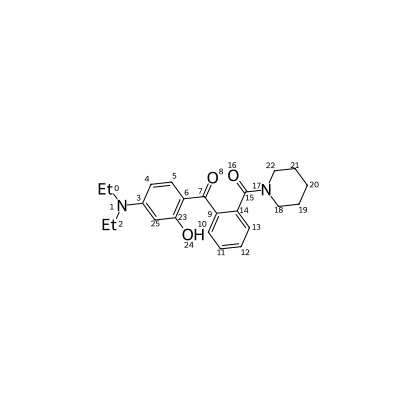 CCN(CC)c1ccc(C(=O)c2ccccc2C(=O)N2CCCCC2)c(O)c1